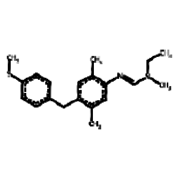 CCN(C)C=Nc1cc(C)c(Cc2ccc(SC)cc2)cc1C